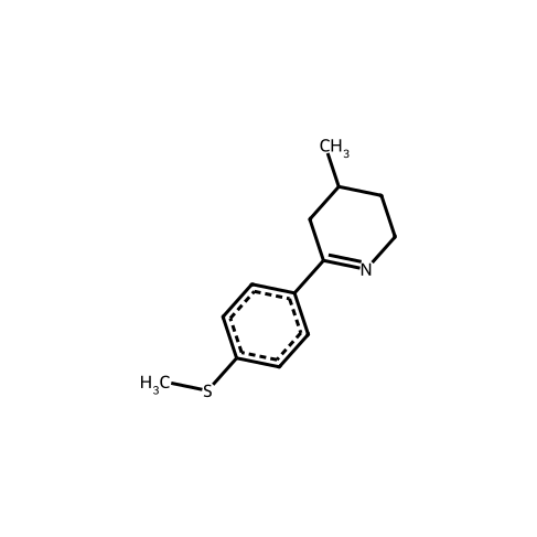 CSc1ccc(C2=NCCC(C)C2)cc1